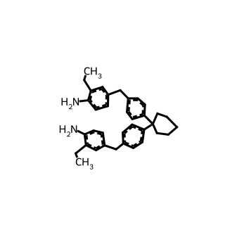 CCc1cc(Cc2ccc(C3(c4ccc(Cc5ccc(N)c(CC)c5)cc4)CCCCC3)cc2)ccc1N